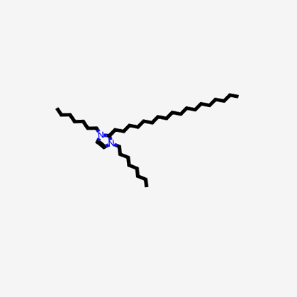 CCCCCCCCCCCCCCCCCCC1N(CCCCCCC)C=CN1CCCCCCCC